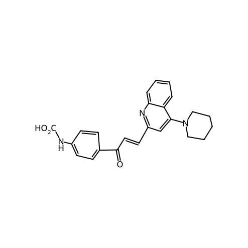 O=C(O)Nc1ccc(C(=O)/C=C/c2cc(N3CCCCC3)c3ccccc3n2)cc1